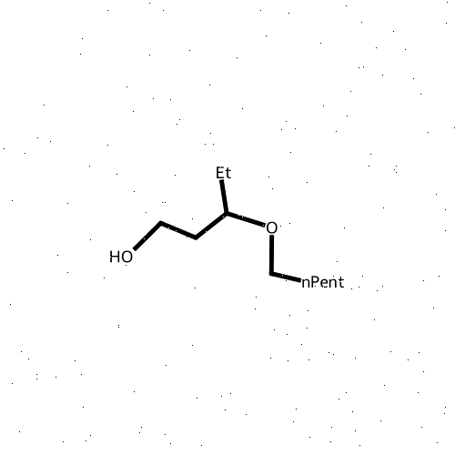 CCCCCCOC(CC)CCO